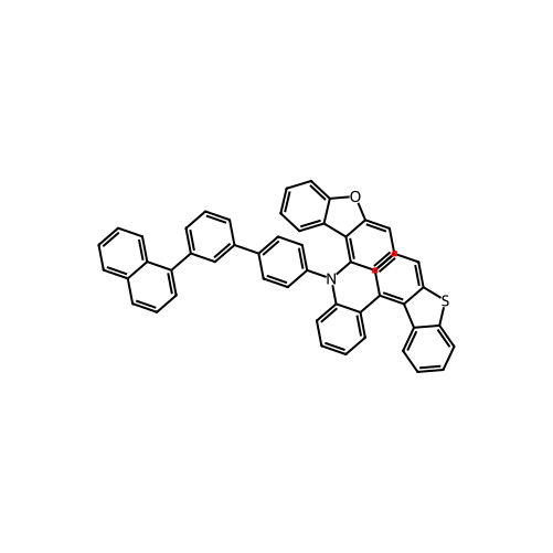 c1cc(-c2ccc(N(c3ccccc3-c3cccc4sc5ccccc5c34)c3cccc4oc5ccccc5c34)cc2)cc(-c2cccc3ccccc23)c1